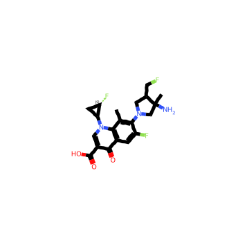 Cc1c(N2CC(CF)C(C)(N)C2)c(F)cc2c(=O)c(C(=O)O)cn(C3C[C@@H]3F)c12